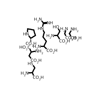 N=C(N)NCCCC(N)C(=O)O.NC(CC(=O)O)C(=O)O.NC(CO)C(=O)O.NC(CS)C(=O)O.NCC(=O)O.NCC(=O)O.O=C(O)[C@@H]1CCCN1